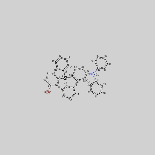 Brc1cccc([Si](c2ccccc2)(c2ccccc2)c2ccc3c(c2)c2ccccc2n3-c2ccccc2)c1